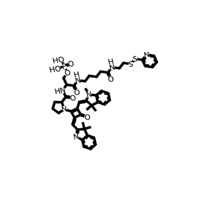 CN1/C(=C/C2=C(N3CCCC3C(=O)NC(COP(=O)(O)O)C(=O)NCCCCC(=O)NCCSSc3ccccn3)C(=C/C3=Nc4ccccc4C3(C)C)/C2=O)C(C)(C)c2ccccc21